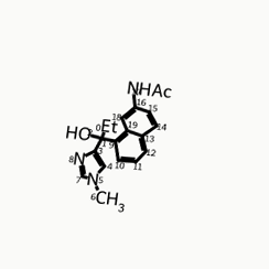 CCC(O)(c1cn(C)cn1)c1cccc2ccc(NC(C)=O)cc12